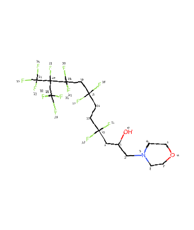 OC(CN1CCOCC1)CC(F)(F)CCC(F)(F)CC(F)(F)C(F)(C(F)(F)F)C(F)(F)F